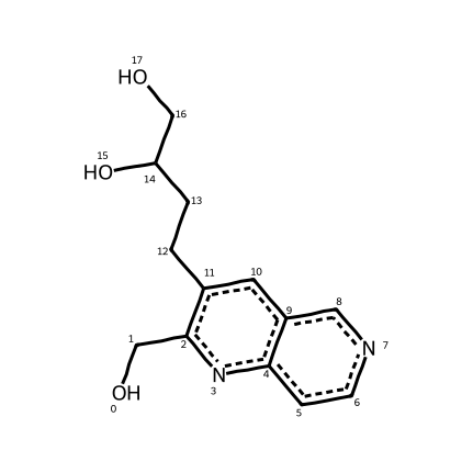 OCc1nc2ccncc2cc1CCC(O)CO